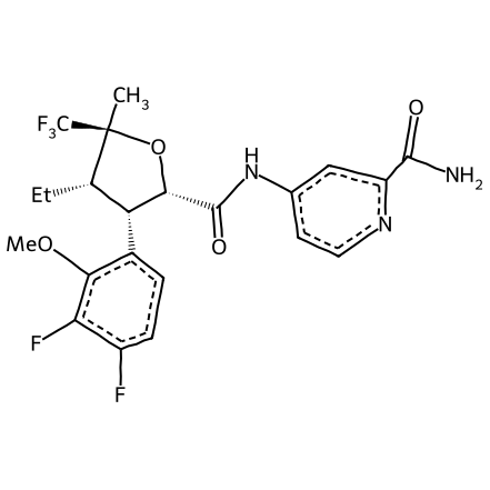 CC[C@H]1[C@@H](c2ccc(F)c(F)c2OC)[C@@H](C(=O)Nc2ccnc(C(N)=O)c2)O[C@]1(C)C(F)(F)F